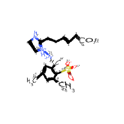 CCOC(=O)CCCCCc1[nH]cc[n+]1N.Cc1cc(C)c(S(=O)(=O)[O-])c(C)c1